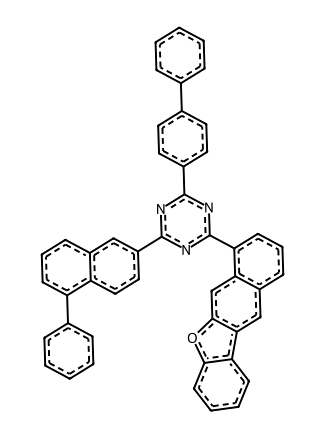 c1ccc(-c2ccc(-c3nc(-c4ccc5c(-c6ccccc6)cccc5c4)nc(-c4cccc5cc6c(cc45)oc4ccccc46)n3)cc2)cc1